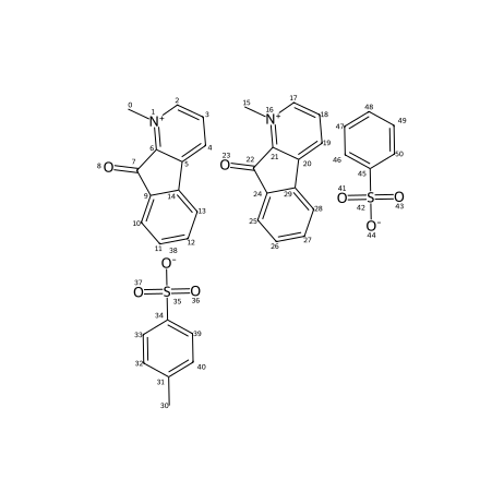 C[n+]1cccc2c1C(=O)c1ccccc1-2.C[n+]1cccc2c1C(=O)c1ccccc1-2.Cc1ccc(S(=O)(=O)[O-])cc1.O=S(=O)([O-])c1ccccc1